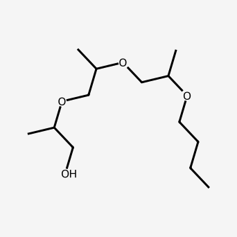 CCCCOC(C)COC(C)COC(C)CO